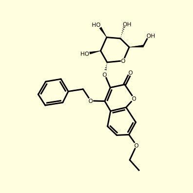 CCOc1ccc2c(OCc3ccccc3)c(O[C@H]3O[C@H](CO)[C@@H](O)[C@H](O)[C@@H]3O)c(=O)oc2c1